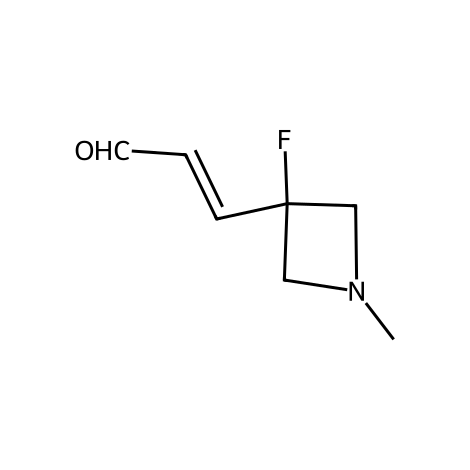 CN1CC(F)(C=CC=O)C1